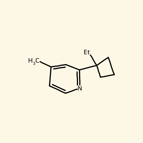 CCC1(c2cc(C)ccn2)CCC1